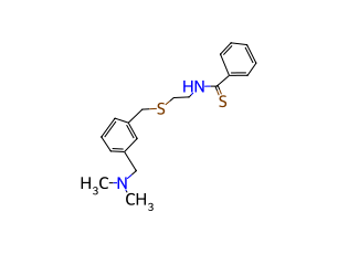 CN(C)Cc1cccc(CSCCNC(=S)c2ccccc2)c1